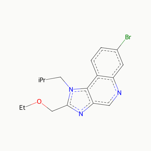 CCOCc1nc2cnc3cc(Br)ccc3c2n1CC(C)C